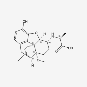 CO[C@@]12CC[C@@H](N[C@@H](C)C(=O)O)[C@@H]3Oc4c(O)ccc5c4[C@@]31CCN(C)[C@@H]2C5